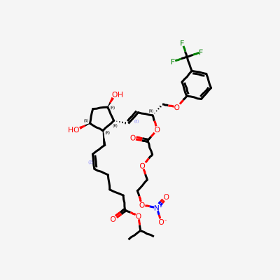 CC(C)OC(=O)CCC/C=C\C[C@@H]1[C@@H](/C=C/[C@H](COc2cccc(C(F)(F)F)c2)OC(=O)COCCO[N+](=O)[O-])[C@H](O)C[C@@H]1O